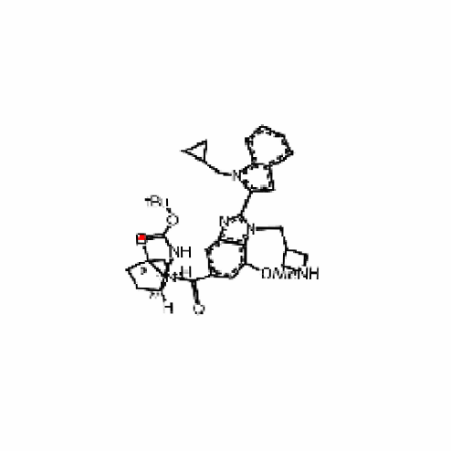 COc1cc(C(=O)N2C[C@H]3CC[C@@H]2[C@@H]3NC(=O)OC(C)(C)C)cc2nc(-c3cc4ccccc4n3CC3CC3)n(CC3CNC3)c12